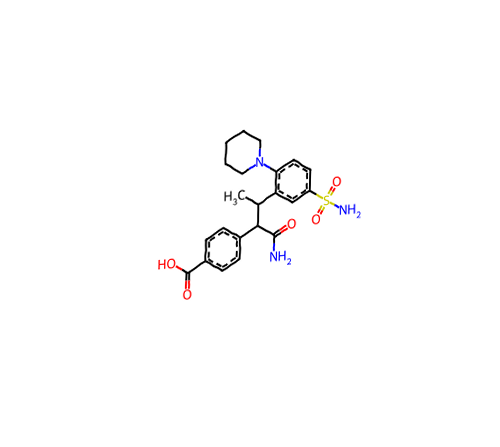 CC(c1cc(S(N)(=O)=O)ccc1N1CCCCC1)C(C(N)=O)c1ccc(C(=O)O)cc1